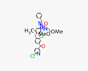 COC(CNC(=O)N(/N=C/c1ccccc1)c1cc(C)c(Cc2ccc(C(=O)c3ccc(Cl)nc3)cc2)c(Cl)c1)OC